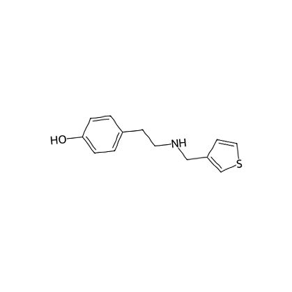 Oc1ccc(CCNCc2ccsc2)cc1